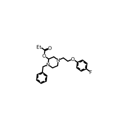 CCC(=O)OC1CN(CCOc2ccc(F)cc2)CCN1Cc1ccccc1